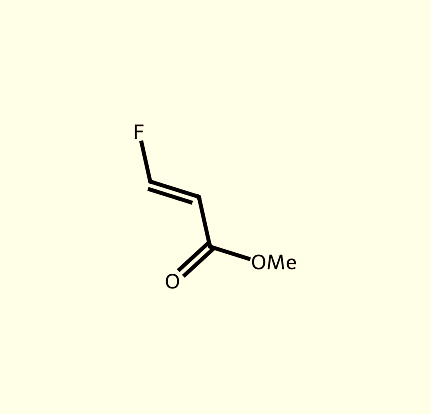 COC(=O)C=CF